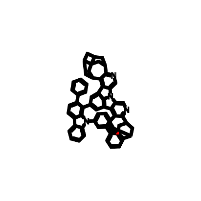 c1ccc(-c2cccc(-n3c4ccccc4c4ccc(-c5ccccc5)c(-c5cc6c7c8c(ncc7n7c9cnc%10c(c9c(c5)c67)C5CC6CC7CC%10CC76C5)C5CC6CC(C5)CC8C6)c43)c2)cc1